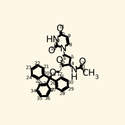 CC(=O)NC1C[C@@H](n2ccc(=O)[nH]c2=O)O[C@H]1COC(c1ccccc1)(c1ccccc1)c1ccccc1